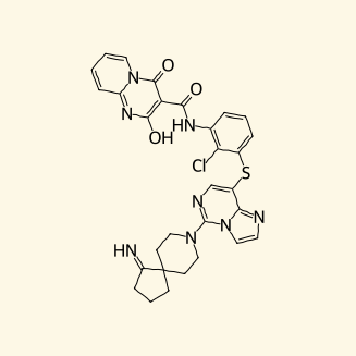 N=C1CCCC12CCN(c1ncc(Sc3cccc(NC(=O)c4c(O)nc5ccccn5c4=O)c3Cl)c3nccn13)CC2